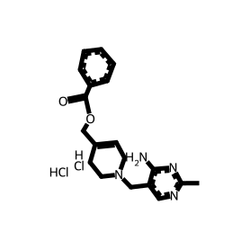 Cc1ncc(CN2CC=C(COC(=O)c3ccccc3)CC2)c(N)n1.Cl.Cl